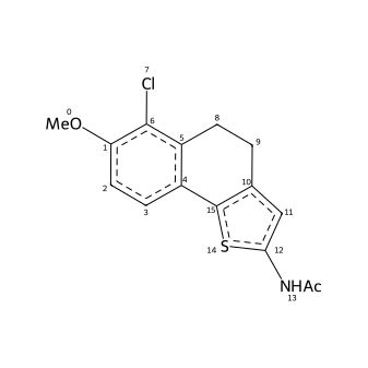 COc1ccc2c(c1Cl)CCc1cc(NC(C)=O)sc1-2